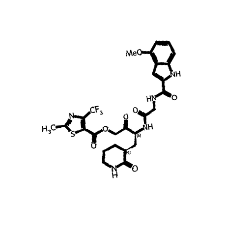 COc1cccc2[nH]c(C(=O)NCC(=O)N[C@@H](C[C@@H]3CCCNC3=O)C(=O)COC(=O)c3sc(C)nc3C(F)(F)F)cc12